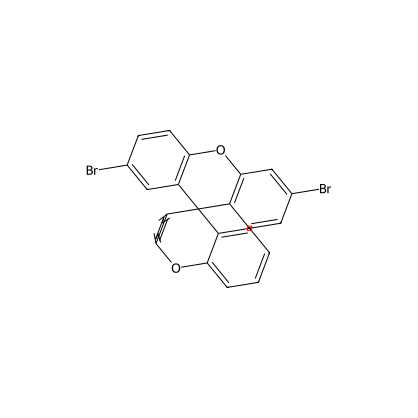 Brc1ccc2c(c1)Oc1ccc(Br)cc1C21c2ccccc2Oc2ccccc21